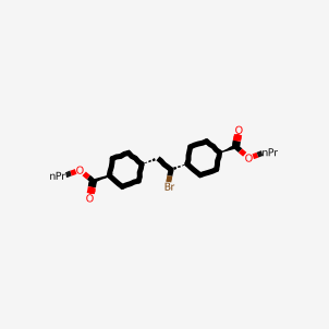 CCCOC(=O)[C@H]1CC[C@H](CC(Br)[C@H]2CC[C@H](C(=O)OCCC)CC2)CC1